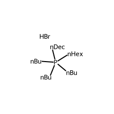 Br.CCCCCCCCCCP(CCCC)(CCCC)(CCCC)CCCCCC